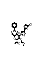 COCOC1C(n2cc(-c3ncc(Cl)s3)nn2)[C@H]2OC(c3ccccc3)OCC2O[C@H]1C(C)=O